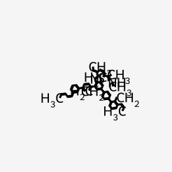 C=Cc1c(/C=C\C)cccc1-c1ccc(-c2cc(C(=C)/C=C\C(=C)c3cccc(/C=C\C=C/C)c3)c3nc(C(/C=C\C(=C)/C(C)=C/NC)=C/C)sc3c2)cc1